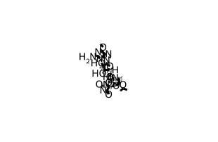 COc1nc(N)nc2c1ncn2[C@@H]1O[C@H](CO[P@](=O)(N[C@H](C)C(=O)OC(C)C)SC[C@@H]2NC(=O)N(C)C2=O)[C@@H](O)[C@@]1(C)O